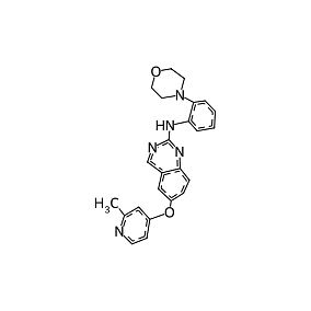 Cc1cc(Oc2ccc3nc(Nc4ccccc4N4CCOCC4)ncc3c2)ccn1